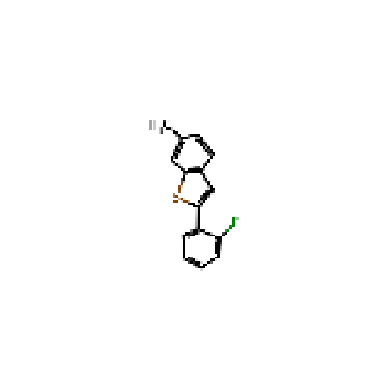 Cc1ccc2cc(-c3ccccc3F)sc2c1